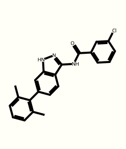 Cc1cccc(C)c1-c1ccc2c(NC(=O)c3cccc(Cl)c3)n[nH]c2c1